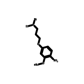 CCCCOc1cc(OCCCN(CC)CC)ccc1N